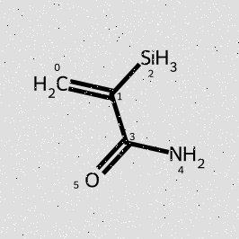 C=C([SiH3])C(N)=O